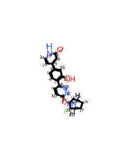 O=c1cc(-c2ccc(-c3ccc(O[C@H]4C[C@@H]5CC[C@@H](N5)[C@@H]4F)nn3)c(O)c2)cc[nH]1